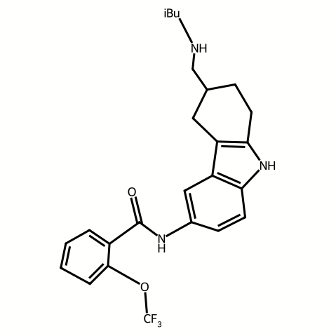 CCC(C)NCC1CCc2[nH]c3ccc(NC(=O)c4ccccc4OC(F)(F)F)cc3c2C1